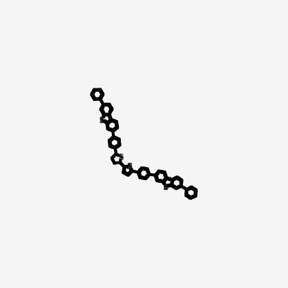 c1ccc(-c2ccc3c(c2)sc2cc(-c4ccc(-c5ccc(C6CCC(c7ccc(-c8ccc9c(c8)sc8cc(-c%10ccccc%10)ccc89)cc7)S6)s5)cc4)ccc23)cc1